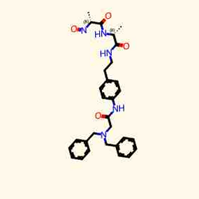 C[C@@H](N=O)C(=O)N[C@H](C)C(=O)NCCc1ccc(NC(=O)CN(Cc2ccccc2)Cc2ccccc2)cc1